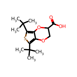 CC(C)(C)c1sc(C(C)(C)C)c2c1OCC(C(=O)O)O2